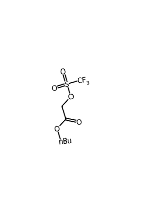 CCCCOC(=O)COS(=O)(=O)C(F)(F)F